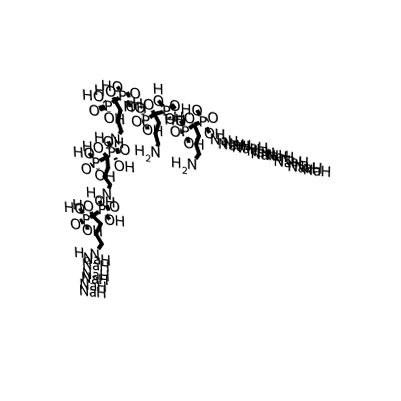 NCCCC(O)(P(=O)(O)O)P(=O)(O)O.NCCCC(O)(P(=O)(O)O)P(=O)(O)O.NCCCC(O)(P(=O)(O)O)P(=O)(O)O.NCCCC(O)(P(=O)(O)O)P(=O)(O)O.NCCCC(O)(P(=O)(O)O)P(=O)(O)O.[NaH].[NaH].[NaH].[NaH].[NaH].[NaH].[NaH].[NaH].[NaH].[NaH].[NaH].[NaH].[NaH].[NaH].[NaH].[NaH].[NaH].[NaH].[NaH].[NaH]